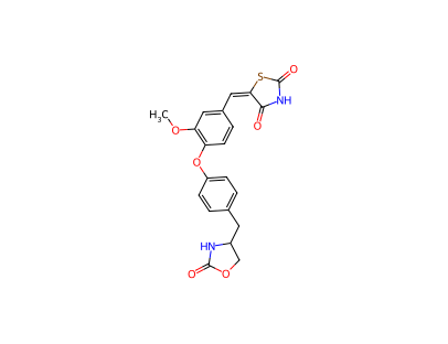 COc1cc(/C=C2/SC(=O)NC2=O)ccc1Oc1ccc(CC2COC(=O)N2)cc1